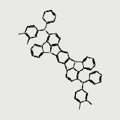 CC1=CCC(N(C2=C3c4ccccc4N4c5cc6c7ccc(N(C8=CC=CCC8)c8ccc(C)c(C)c8)c8c9ccccc9n(c6cc5C(C=C2)C34)c78)c2ccccc2)C=C1C